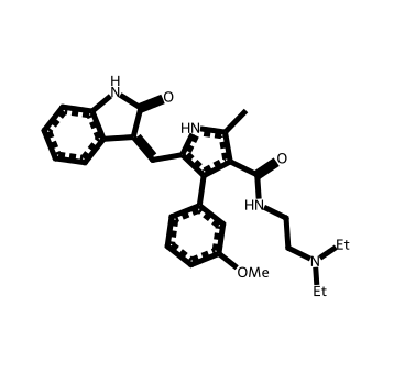 CCN(CC)CCNC(=O)c1c(C)[nH]c(/C=C2\C(=O)Nc3ccccc32)c1-c1cccc(OC)c1